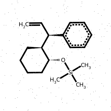 C=C[C@@H](c1ccccc1)[C@@H]1CCCC[C@H]1O[Si](C)(C)C